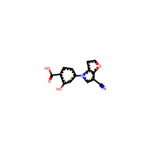 N#Cc1cn(-c2ccc(C(=O)O)c(O)c2)c2ccoc12